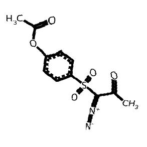 CC(=O)Oc1ccc(S(=O)(=O)C(=[N+]=[N-])C(C)=O)cc1